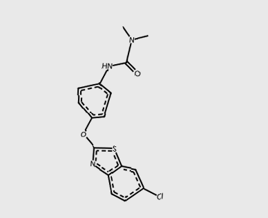 CN(C)C(=O)Nc1ccc(Oc2nc3ccc(Cl)cc3s2)cc1